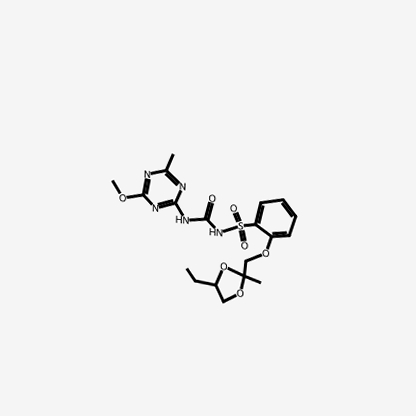 CCC1COC(C)(COc2ccccc2S(=O)(=O)NC(=O)Nc2nc(C)nc(OC)n2)O1